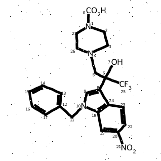 O=C(O)N1CCN(CC(O)(c2cn(Cc3ccccc3)c3cc([N+](=O)[O-])ccc23)C(F)(F)F)CC1